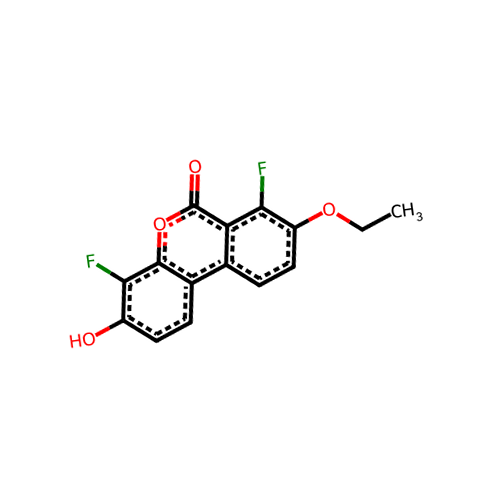 CCOc1ccc2c(c1F)c(=O)oc1c(F)c(O)ccc12